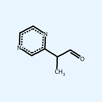 CC(C=O)c1cnccn1